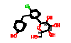 OC[C@H]1OC(c2ccc(Cl)c(Cc3ccc(O)cc3)c2)[C@@H](O)[C@@H](O)[C@H]1O